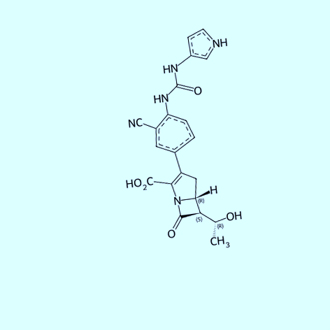 C[C@@H](O)[C@H]1C(=O)N2C(C(=O)O)=C(c3ccc(NC(=O)Nc4cc[nH]c4)c(C#N)c3)C[C@H]12